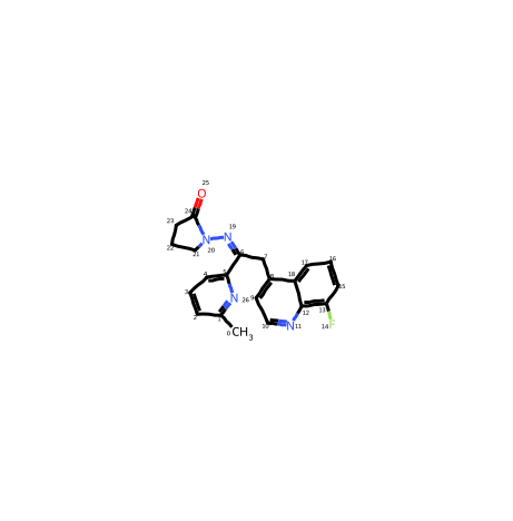 Cc1cccc(/C(Cc2ccnc3c(F)cccc23)=N\N2CCCC2=O)n1